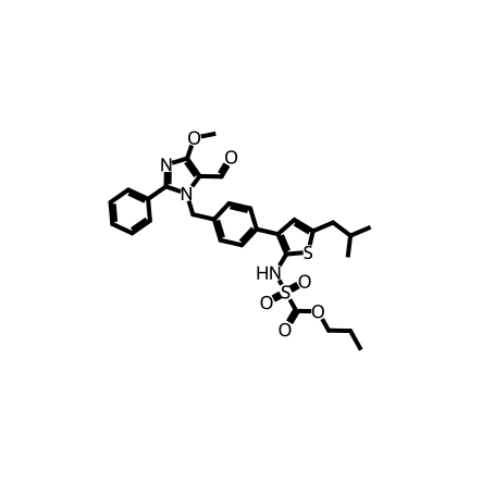 CCCOC(=O)S(=O)(=O)Nc1sc(CC(C)C)cc1-c1ccc(Cn2c(-c3ccccc3)nc(OC)c2C=O)cc1